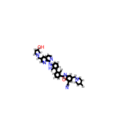 Cc1c(Nc2nccc3cc(CN4CC[C@@H](O)C4)cnc23)cccc1-c1cccc(-c2nc3cc(CN4CCC(C)CC4)cc(C#N)c3o2)c1C